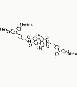 [C-]#[N+]c1cc2c3c(ccc4c5c(C#N)cc6c7c(ccc(c1c34)c75)C(=O)N(CCCc1ccc(N(c3ccc(OCCCCCC)cc3)c3ccc(OCCCCCC)cc3)cc1)C6=O)C(=O)N(CCCc1ccc(N(c3ccc(C)cc3)c3ccc(OCCCCCC)cc3)cc1)C2=O